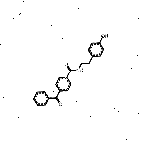 O=C(NCCc1ccc(O)cc1)c1ccc(C(=O)c2ccccc2)cc1